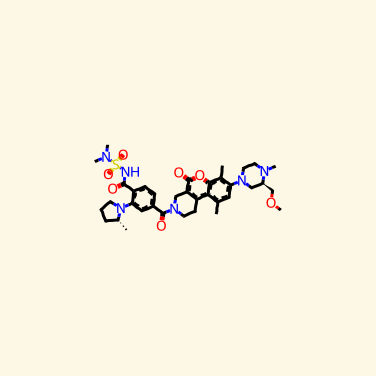 COC[C@H]1CN(c2cc(C)c3c4c(c(=O)oc3c2C)CN(C(=O)c2ccc(C(=O)NS(=O)(=O)N(C)C)c(N3CCC[C@H]3C)c2)CC4)CCN1C